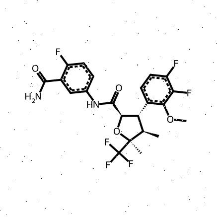 COc1c([C@@H]2[C@@H](C)[C@@](C)(C(F)(F)F)O[C@H]2C(=O)Nc2ccc(F)c(C(N)=O)c2)ccc(F)c1F